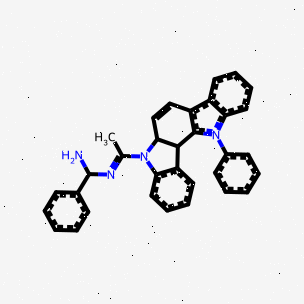 C/C(=N\C(N)c1ccccc1)N1c2ccccc2C2c3c(c4ccccc4n3-c3ccccc3)C=CC21